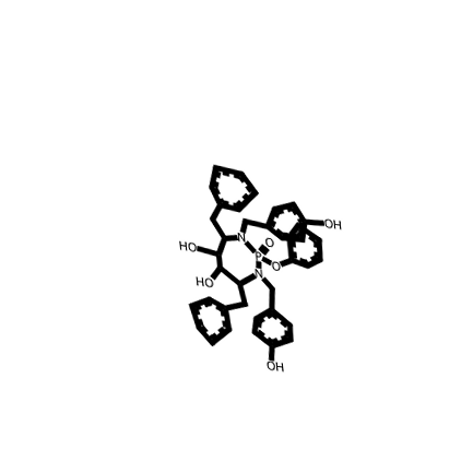 O=P1(Oc2ccccc2)N(Cc2ccc(O)cc2)C(Cc2ccccc2)C(O)C(O)C(Cc2ccccc2)N1Cc1ccc(O)cc1